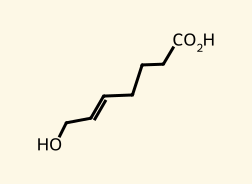 O=C(O)CCCC=CCO